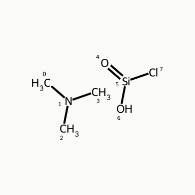 CN(C)C.O=[Si](O)Cl